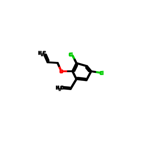 C=CCOc1c(Cl)cc(Cl)cc1C=C